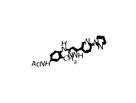 CC(=O)Nc1ccc(Nc2cc(-c3ccc(-n4cccn4)nc3)[nH]n2)c(C)c1